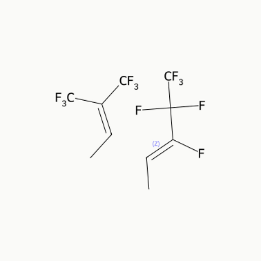 C/C=C(\F)C(F)(F)C(F)(F)F.CC=C(C(F)(F)F)C(F)(F)F